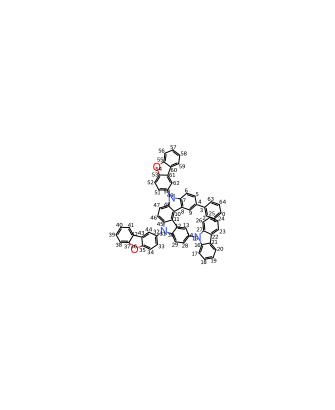 c1ccc(-c2ccc3c(c2)c2c4c5cc(-n6c7ccccc7c7ccccc76)ccc5n(-c5ccc6oc7ccccc7c6c5)c4ccc2n3-c2ccc3oc4ccccc4c3c2)cc1